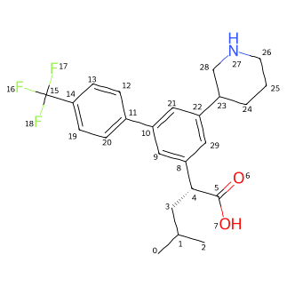 CC(C)C[C@@H](C(=O)O)c1cc(-c2ccc(C(F)(F)F)cc2)cc(C2CCCNC2)c1